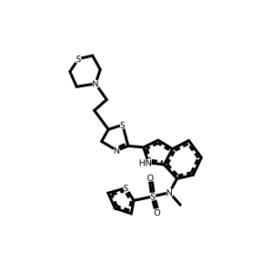 CN(c1cccc2cc(C3=NCC(CCN4CCSCC4)S3)[nH]c12)S(=O)(=O)c1cccs1